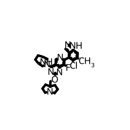 Cc1cc2[nH]ncc2c(-c2ncc3c(N4CC5CCC(C4)N5)nc(OCC45CCCN4CCC5)nc3c2F)c1Cl